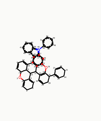 C1=CC2OC3=CCCC=C3C(C3C4=C(Oc5ccccc53)C(C3=CCCC=C3)CC=C4)C2C(C2=CCCc3c2c2ccccc2n3-c2ccccc2)=C1